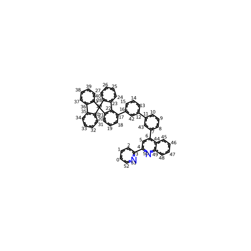 c1ccc(-c2cc(-c3cccc(-c4cccc(-c5cccc6c5-c5ccccc5C65c6ccccc6-c6ccccc65)c4)c3)c3ccccc3n2)nc1